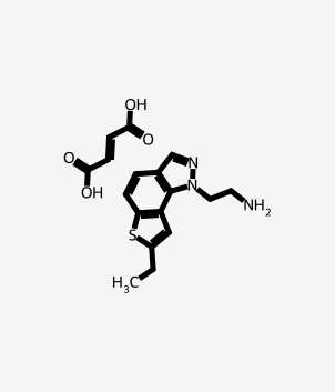 CCc1cc2c(ccc3cnn(CCN)c32)s1.O=C(O)C=CC(=O)O